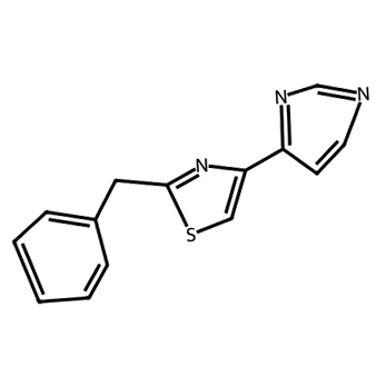 c1ccc(Cc2nc(-c3ccncn3)cs2)cc1